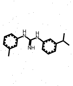 Cc1cccc(NC(=N)Nc2cccc(C(C)C)c2)c1